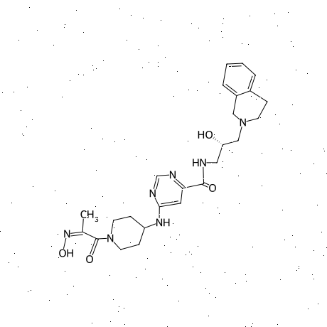 C/C(=N/O)C(=O)N1CCC(Nc2cc(C(=O)NC[C@H](O)CN3CCc4ccccc4C3)ncn2)CC1